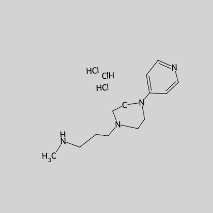 CNCCCN1CCN(c2ccncc2)CC1.Cl.Cl.Cl